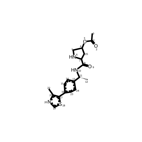 CC(=O)OC1CNC(C(=O)N[C@H](C)c2ccc(-c3scnc3C)cc2)C1